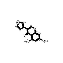 COc1cc(OC)c2c(=O)c(-c3cc[nH]n3)coc2c1